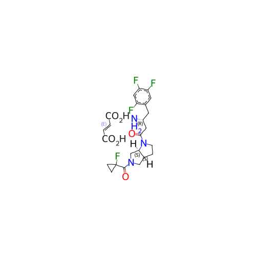 N[C@@H](CC(=O)N1CC[C@H]2CN(C(=O)C3(F)CC3)C[C@H]21)Cc1cc(F)c(F)cc1F.O=C(O)/C=C/C(=O)O